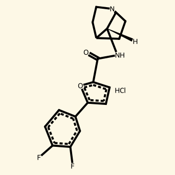 Cl.O=C(N[C@H]1CN2CCC1CC2)c1ccc(-c2ccc(F)c(F)c2)o1